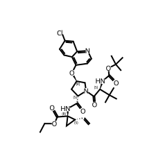 C=C[C@@H]1C[C@]1(NC(=O)[C@@H]1C[C@@H](Oc2ccnc3cc(Cl)ccc23)CN1C(=O)[C@@H](NC(=O)OC(C)(C)C)C(C)(C)C)C(=O)OCC